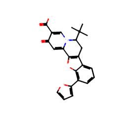 CC(C)(C)C1Cc2c(oc3c(-c4ccco4)cccc23)-c2cc(=O)c(C(=O)O)cn21